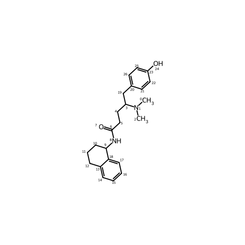 CN(C)C(CCC(=O)NC1CCCc2ccccc21)Cc1ccc(O)cc1